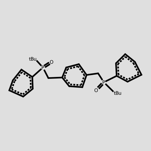 CC(C)(C)P(=O)(Cc1ccc(CP(=O)(c2ccccc2)C(C)(C)C)cc1)c1ccccc1